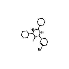 BrC1=CC(C2NC(C3CCCCC3)NC(C3CCCCC3)N2I)CCC1